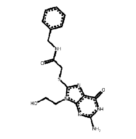 Nc1nc2c(nc(SCC(=O)NCc3ccccc3)n2CCO)c(=O)[nH]1